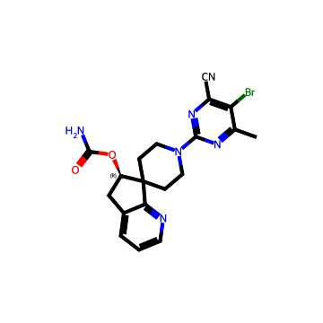 Cc1nc(N2CCC3(CC2)c2ncccc2C[C@H]3OC(N)=O)nc(C#N)c1Br